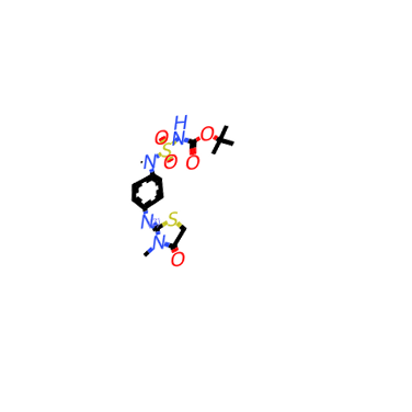 CN1C(=O)CS/C1=N\c1ccc([N]S(=O)(=O)NC(=O)OC(C)(C)C)cc1